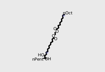 CCCCCCCC/C=C/CCCCCCCC(=O)OCCOC(=O)CCCCCCC/C=C/CC(O)C(O)CCCCC